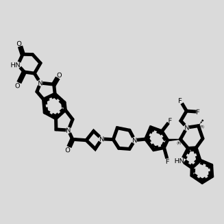 C[C@@H]1Cc2c([nH]c3ccccc23)[C@@H](c2c(F)cc(N3CCC(N4CC(C(=O)N5Cc6cc7c(cc6C5)C(=O)N(C5CCC(=O)NC5=O)C7)C4)CC3)cc2F)N1CC(F)F